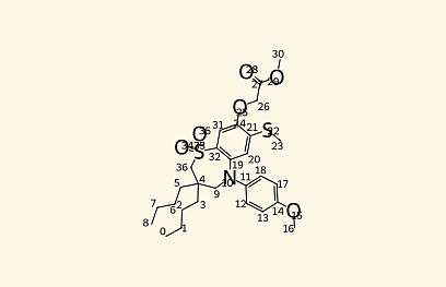 CCCCC1(CCCC)CN(c2ccc(OC)cc2)c2cc(SC)c(OCC(=O)OC)cc2S(=O)(=O)C1